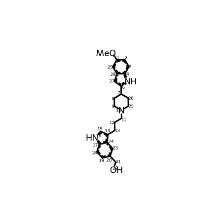 COc1ccc2[nH]c(C3CCN(CCCc4c[nH]c5ccc(CO)cc45)CC3)cc2c1